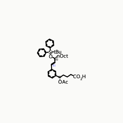 CCCCCCCC[C@@H](/C=C/c1cccc([C@H](CCCC(=O)O)OC(C)=O)c1)O[Si](c1ccccc1)(c1ccccc1)C(C)(C)C